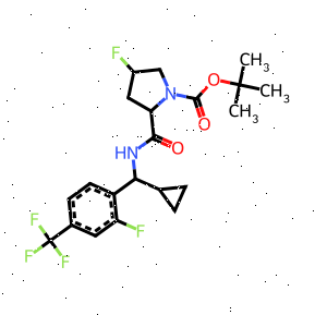 CC(C)(C)OC(=O)N1CC(F)CC1C(=O)NC(c1ccc(C(F)(F)F)cc1F)C1CC1